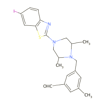 Cc1cc(C=O)cc(CN2C(C)CN(c3nc4ccc(I)cc4s3)CC2C)c1